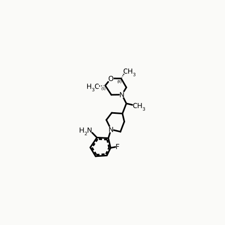 CC(C1CCN(c2c(N)cccc2F)CC1)N1C[C@@H](C)O[C@@H](C)C1